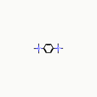 C[N+](C)(C)c1ccc([N+](C)(C)C)cc1